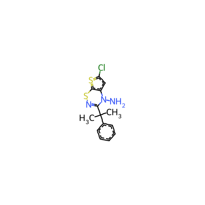 CC(C)(C1=NSc2sc(Cl)cc2N1N)c1ccccc1